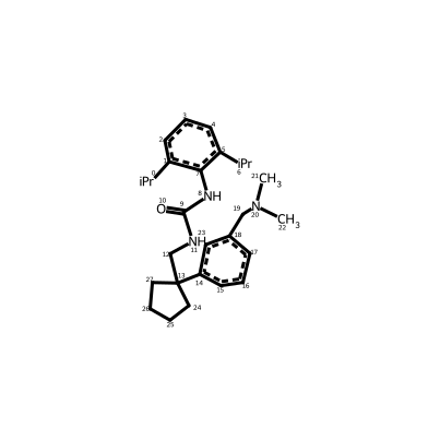 CC(C)c1cccc(C(C)C)c1NC(=O)NCC1(c2cccc(CN(C)C)c2)CCCC1